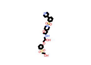 O=S(=O)(CCO)c1cccc(OCC(O)CNC2COC3(CCN(S(=O)(=O)c4cccc(-c5ccncc5)c4)CC3)C2)c1